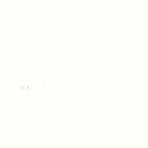 CCOC(OC)(OC)c1sc(S(N)(=O)=O)cc1SC